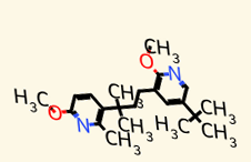 COc1ccc(C(C)(C)CCc2cc(C(C)(C)C)cnc2OC)c(C)n1